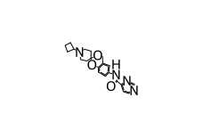 O=C(Nc1ccc2c(c1)COC1(CCN(C3CCC3)CC1)O2)c1ccncn1